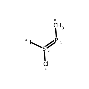 CP=S(Cl)I